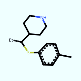 CCC(Sc1ccc(C)cc1)C1CCNCC1